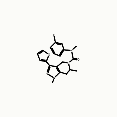 CC1Cc2c(c(-c3cccs3)nn2C)CN1C(=O)N(C)c1cccc(Cl)c1